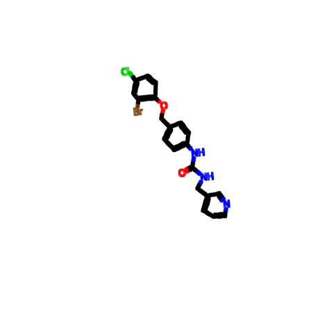 O=C(NCc1cccnc1)Nc1ccc(COc2ccc(Cl)cc2Br)cc1